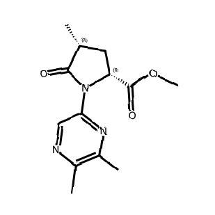 COC(=O)[C@H]1C[C@@H](C)C(=O)N1c1cnc(C)c(C)n1